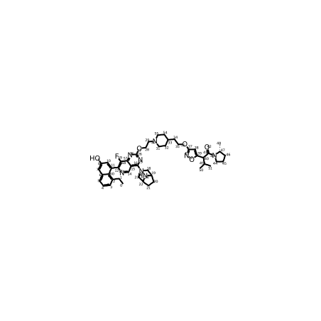 CCc1cccc2cc(O)cc(-c3ncc4c(N5CC6CCC(C5)N6)nc(OCCN5CCC(CCOc6cc(C(C(=O)N7CCC[C@H]7C)C(C)C)on6)CC5)nc4c3F)c12